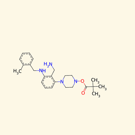 Cc1ccccc1CNc1cccc(N2CCN(OC(=O)C(C)(C)C)CC2)c1CN